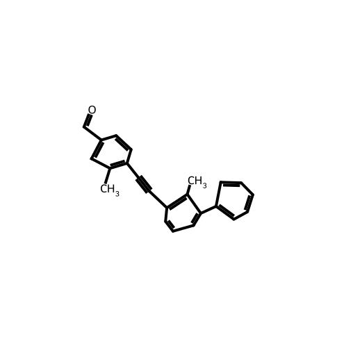 Cc1cc(C=O)ccc1C#Cc1cccc(-c2ccccc2)c1C